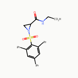 CC(C)c1cc(C(C)C)c(S(=O)(=O)N2CC2C(=O)NCC(=O)O)c(C(C)C)c1